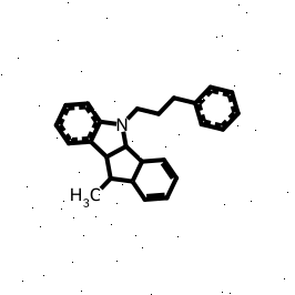 CC1C2C=CC=CC2C2C1c1ccccc1N2CCCc1ccccc1